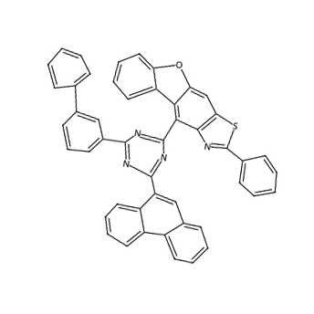 c1ccc(-c2cccc(-c3nc(-c4cc5ccccc5c5ccccc45)nc(-c4c5nc(-c6ccccc6)sc5cc5oc6ccccc6c45)n3)c2)cc1